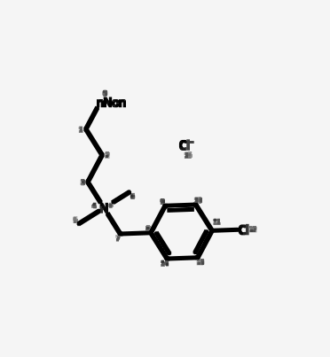 CCCCCCCCCCCC[N+](C)(C)Cc1ccc(Cl)cc1.[Cl-]